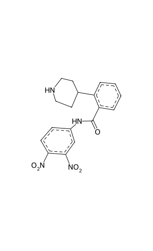 O=C(Nc1ccc([N+](=O)[O-])c([N+](=O)[O-])c1)c1ccccc1C1CCNCC1